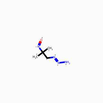 CC(C)(CN=NN)N=O